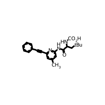 Cc1cc(C#Cc2ccccc2)nc(NC(=O)C(CC(C)(C)C)NC(=O)O)c1